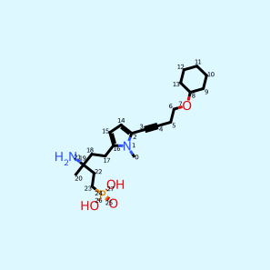 Cn1c(C#CCCOC2CCCCC2)ccc1CCC(C)(N)CCP(=O)(O)O